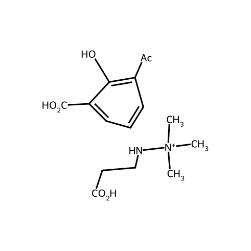 CC(=O)c1cccc(C(=O)O)c1O.C[N+](C)(C)NCCC(=O)O